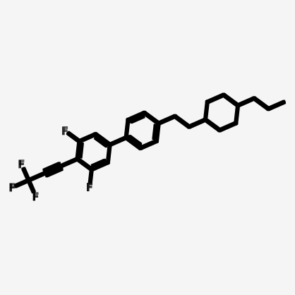 CCCC1CCC(CCc2ccc(-c3cc(F)c(C#CC(F)(F)F)c(F)c3)cc2)CC1